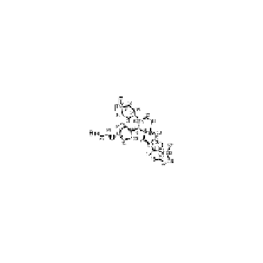 CC(C)[Si](Oc1ccc2c(c1)CC[C@H](C1CCC(F)(F)CC1)[C@@H]2c1ccc(OCCBr)cc1)(C(C)C)C(C)C